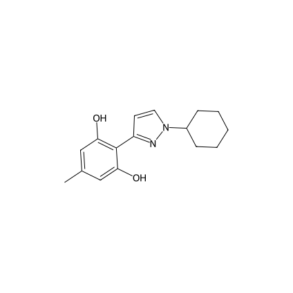 Cc1cc(O)c(-c2ccn(C3CCCCC3)n2)c(O)c1